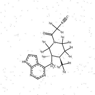 [2H]C([2H])([N+]#[C-])C(=O)N1C([2H])([2H])C([2H])([2H])[C@@H](C([2H])([2H])[2H])[C@@]([2H])(N(C)c2ncnc3[nH]ccc23)C1([2H])[2H]